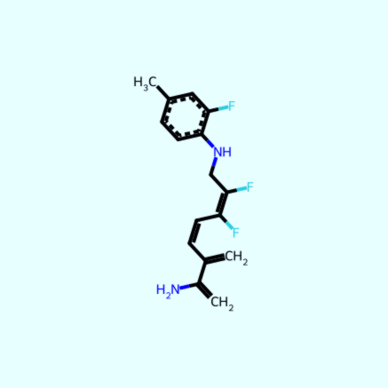 C=C(N)C(=C)/C=C\C(F)=C(\F)CNc1ccc(C)cc1F